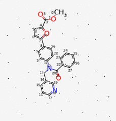 COC(=O)c1ccc(-c2ccc(N(Cc3cccnc3)C(=O)c3ccccc3)cc2)o1